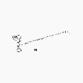 CCCCCCCCCCCCCCCCCCCCCCCCCCCC(=N\c1ccccc1)/C(CCCC)=N/c1ccccc1.[Ni]